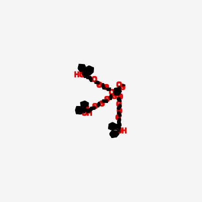 COC(=O)c1cc(OCCOCCOCCOCCCC(C)(C)[Si](O)(c2ccccc2)c2ccccc2)c(OCCOCCOCCOCCCC(C)(C)[Si](O)(c2ccccc2)c2ccccc2)c(OCCOCCOCCOCCCC(C)(C)[Si](O)(c2ccccc2)c2ccccc2)c1